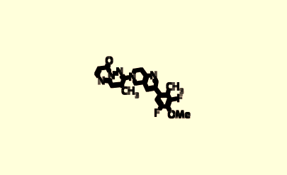 COc1c(F)cc(-c2cnc3c(c2)CN(c2nn4c(=O)ccnc4cc2C)CC3)c(C)c1F